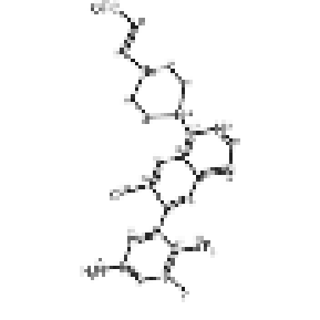 Cc1cc(N)nc(-c2cc3ncnc(N4CCN(C=CC=O)CC4)c3cc2Cl)c1C(F)(F)F